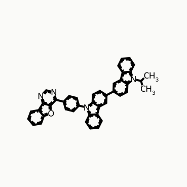 CC(C)n1c2ccccc2c2cc(-c3ccc4c(c3)c3ccccc3n4-c3ccc(-c4ncnc5c4oc4ccccc45)cc3)ccc21